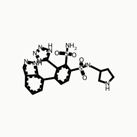 NS(=O)(=O)c1c(S(=O)(=O)NC2CCNC2)ccc(-c2cccc3cn[nH]c23)c1-c1nnn[nH]1